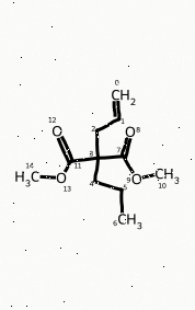 C=CCC(CCC)(C(=O)OC)C(=O)OC